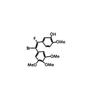 COc1ccc(/C(F)=C(/Br)c2cc(OC)c(OC)c(OC)c2)cc1O